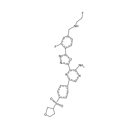 Nc1ncc(-c2ccc(S(=O)(=O)C3CCOC3)cc2)nc1-c1nnc(-c2ccc(CNCCF)cc2F)o1